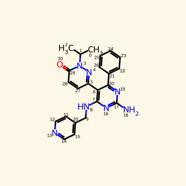 CC(C)n1nc(-c2c(NCc3ccncc3)nc(N)nc2-c2ccccc2)ccc1=O